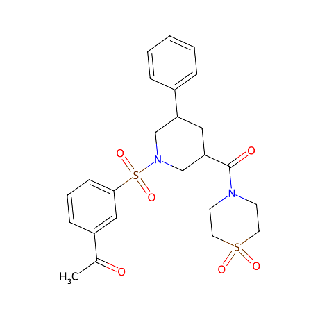 CC(=O)c1cccc(S(=O)(=O)N2CC(C(=O)N3CCS(=O)(=O)CC3)CC(c3ccccc3)C2)c1